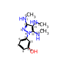 CNc1nn(-c2cccc(O)c2)c(NC)c1NC